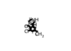 C=Cc1cc(Cl)c2c(c1)[C@@H]1CNCCN1C2=O